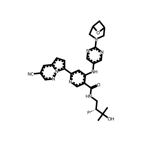 CC(C)(O)[C@H](F)CNC(=O)c1cnc(-c2ccc3cc(C#N)cnn23)cc1Nc1cnc(N2CC3CC(C2)O3)nc1